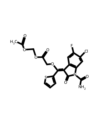 CC(=O)OCOC(=O)CO/C(=C1/C(=O)N(C(N)=O)c2cc(Cl)c(F)cc21)c1cccs1